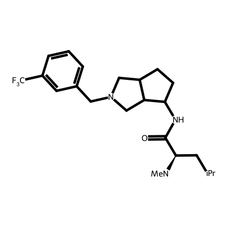 CN[C@H](CC(C)C)C(=O)NC1CCC2CN(Cc3cccc(C(F)(F)F)c3)CC21